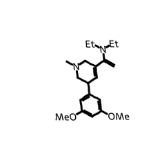 C=C(C1=CC(c2cc(OC)cc(OC)c2)CN(C)C1)N(CC)CC